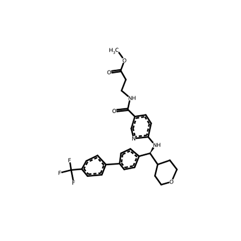 COC(=O)CCNC(=O)c1ccc(N[C@H](c2ccc(-c3ccc(C(F)(F)F)cc3)cc2)C2CCOCC2)nc1